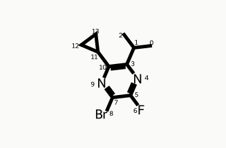 CC(C)c1nc(F)c(Br)nc1C1CC1